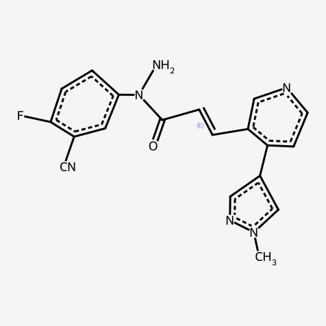 Cn1cc(-c2ccncc2/C=C/C(=O)N(N)c2ccc(F)c(C#N)c2)cn1